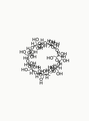 CC1O[C@@H]2O[C@@H]3C(CO)O[C@H](O[C@@H]4C(CO)OC(C[C@@H]5C(CO)O[C@H](O[C@@H]6C(CO)O[C@H](O[C@@H]7C(CO)O[C@H](O[C@@H]8C(CO)O[C@@H](O[C@H]1[C@H](O)C2O)[C@@H](O)C8O)[C@@H](O)C7O)[C@@H](O)C6O)[C@@H](O)C5O)[C@@H](O)[C@H]4O)C(O)[C@H]3O